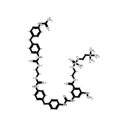 CNc1cc(NC(=O)Nc2ccc(Cc3ccc(NC(=O)OCCOC(=O)Nc4ccc(Cc5ccc(NC(C)=O)cc5)cc4)cc3)cc2)cc(C(=O)OCCOP(=O)(O)OCC[N+](C)(C)C)c1